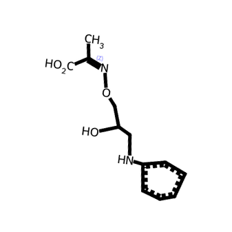 C/C(=N/OCC(O)CNc1ccccc1)C(=O)O